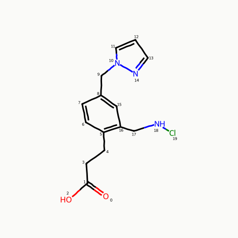 O=C(O)CCc1ccc(Cn2cccn2)cc1CNCl